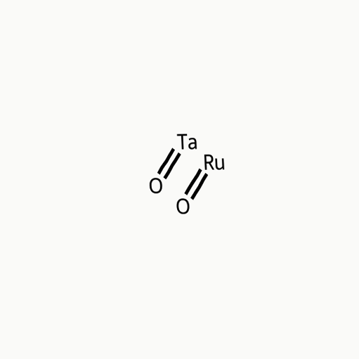 [O]=[Ru].[O]=[Ta]